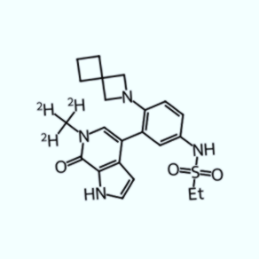 [2H]C([2H])([2H])n1cc(-c2cc(NS(=O)(=O)CC)ccc2N2CC3(CCC3)C2)c2cc[nH]c2c1=O